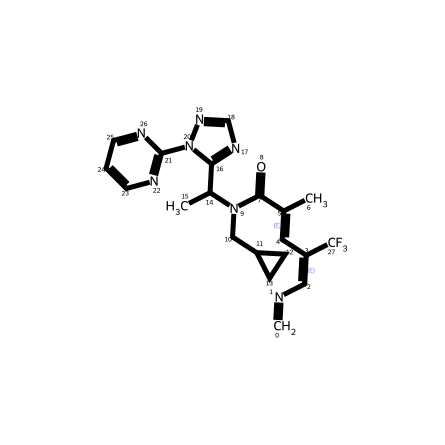 C=N/C=C(\C=C(/C)C(=O)N(CC1CC1)C(C)c1ncnn1-c1ncccn1)C(F)(F)F